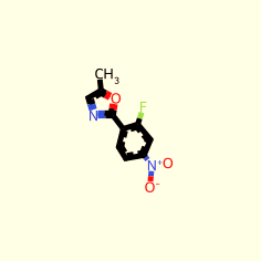 Cc1cnc(-c2ccc([N+](=O)[O-])cc2F)o1